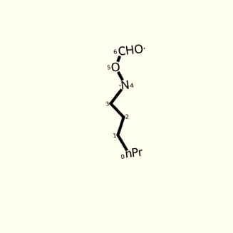 CCCCCC[N]O[C]=O